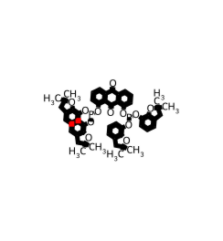 CC1(C)Cc2cccc(OP(Oc3cccc4c3OC(C)(C)C4)Oc3cccc4c3C(=O)c3c(OP(Oc5cccc6c5OC(C)(C)C6)Oc5cccc6c5OC(C)(C)C6)cccc3C4=O)c2O1